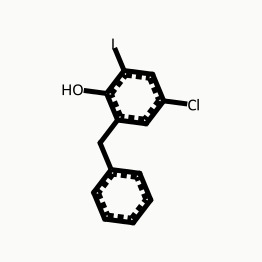 Oc1c(I)cc(Cl)cc1Cc1ccccc1